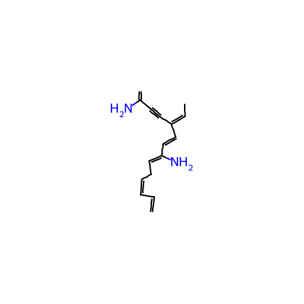 C=C/C=C\C/C=C(N)/C=C/C(C#CC(=C)N)=C/C